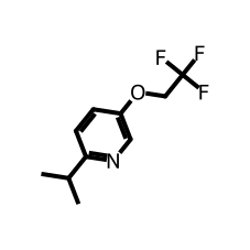 CC(C)c1ccc(OCC(F)(F)F)cn1